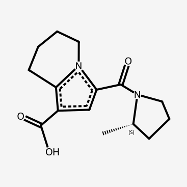 C[C@H]1CCCN1C(=O)c1cc(C(=O)O)c2n1CCCC2